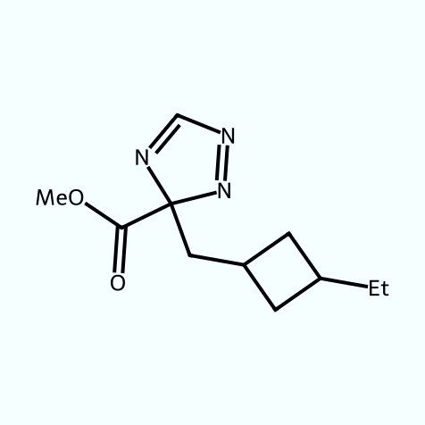 CCC1CC(CC2(C(=O)OC)N=CN=N2)C1